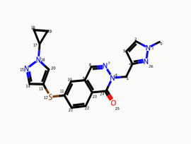 Cn1ccc(Cn2ncc3cc(Sc4cnn(C5CC5)c4)ccc3c2=O)n1